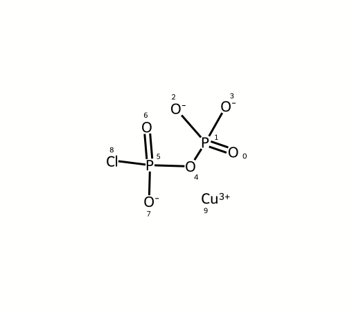 O=P([O-])([O-])OP(=O)([O-])Cl.[Cu+3]